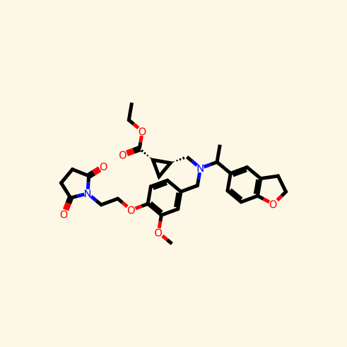 CCOC(=O)[C@H]1C[C@H]1CN(Cc1ccc(OCCN2C(=O)CCC2=O)c(OC)c1)C(C)c1ccc2c(c1)CCO2